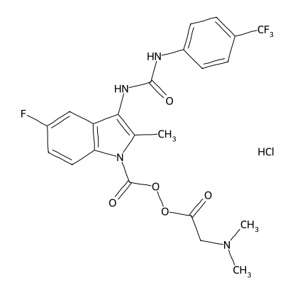 Cc1c(NC(=O)Nc2ccc(C(F)(F)F)cc2)c2cc(F)ccc2n1C(=O)OOC(=O)CN(C)C.Cl